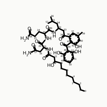 CCCCCCCCCC(O)CC(=O)NC(CC(N)=O)C(=O)NC(CCC(N)=O)C(=O)NC(CC(=O)c1cc(C)cc(O)c1C(=O)c1c(O)cccc1O)CC(C)C